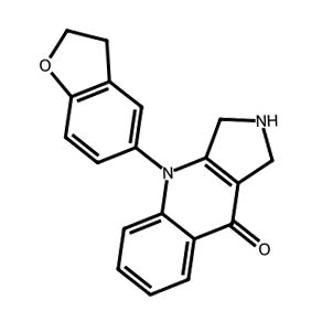 O=c1c2c(n(-c3ccc4c(c3)CCO4)c3ccccc13)CNC2